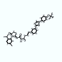 Cc1ccc(C(C)C)c(N2C(=O)CS/C2=N\C(=O)NC(C)C/C=C/c2cccc(-c3ncn(-c4ccc(OC(F)(F)F)cc4)n3)c2)c1